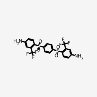 Nc1ccc(S(=O)(=O)c2ccc(S(=O)(=O)c3ccc(N)cc3C(F)(F)F)cc2)c(C(F)(F)F)c1